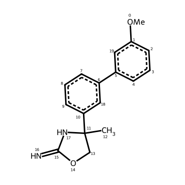 COc1cccc(-c2cccc(C3(C)COC(=N)N3)c2)c1